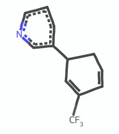 FC(F)(F)C1=CC(c2cccnc2)CC=C1